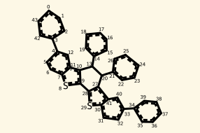 c1ccc(-c2ccc3sc4c(c3c2)C(c2ccccc2)C(c2ccccc2)c2c-4sc3ccc(-c4ccccc4)cc23)cc1